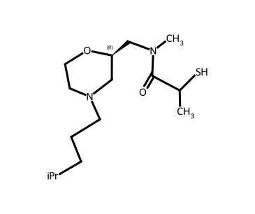 CC(C)CCCN1CCO[C@@H](CN(C)C(=O)C(C)S)C1